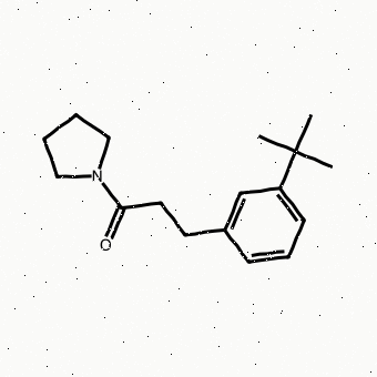 CC(C)(C)c1cccc(CCC(=O)N2CCCC2)c1